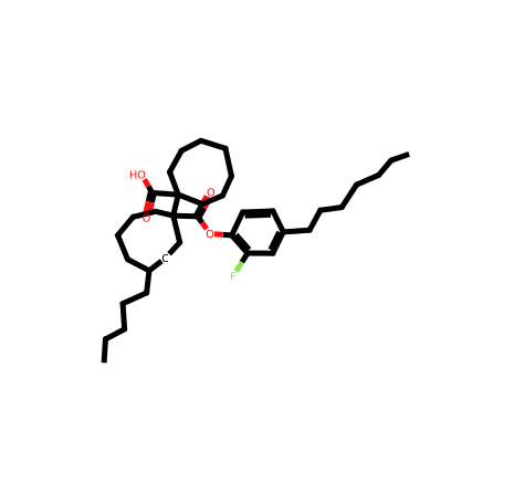 CCCCCCCc1ccc(OC(=O)C2(C3(C(=O)O)CCCCCCC3)CCCCC(CCCCC)CC2)c(F)c1